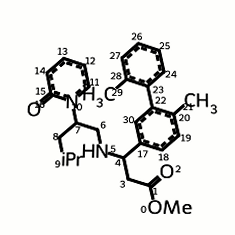 COC(=O)CC(NCC(CC(C)C)n1ccccc1=O)c1ccc(C)c(-c2ccccc2C)c1